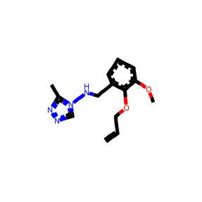 C=CCOc1c(CNn2cnnc2C)cccc1OC